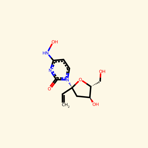 C=C[C@]1(n2ccc(NO)nc2=O)C[C@H](O)[C@@H](CO)O1